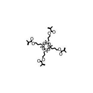 C=C(C)C(=O)OCCC[Si]1(C)O[Si](C)(CCCOC(=O)C(=C)C)O[Si](C)(CCCOC(=O)C(=C)C)O[Si](C)(CCCOC(=O)C(=C)C)O1